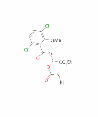 CCOC(=O)C(OC(=O)SCC)OC(=O)c1c(Cl)ccc(Cl)c1OC